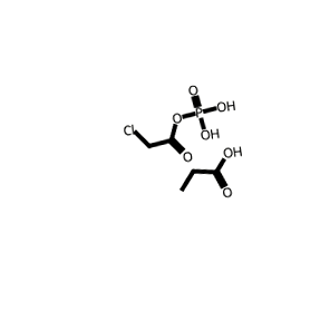 CCC(=O)O.O=C(CCl)OP(=O)(O)O